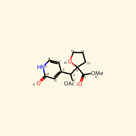 COC(=O)C1(C(OC(C)=O)c2cc[nH]c(=O)c2)CCCO1